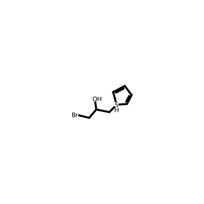 OC(CBr)C[SH]1C=CC=C1